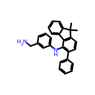 CC1(C)c2ccccc2-c2c1ccc(-c1ccccc1)c2Nc1cccc(CN)c1